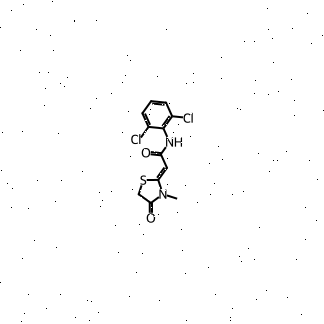 CN1C(=O)CS/C1=C\C(=O)Nc1c(Cl)cccc1Cl